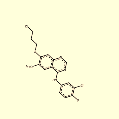 COc1cc2c(Nc3ccc(F)c(Cl)c3)ncnc2cc1OCCCCl